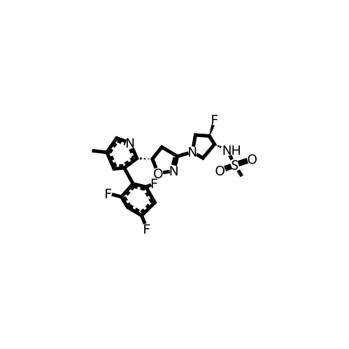 Cc1cnc([C@@H]2CC(N3C[C@@H](F)[C@H](NS(C)(=O)=O)C3)=NO2)c(-c2c(F)cc(F)cc2F)c1